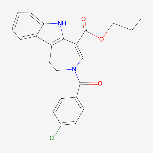 CCCOC(=O)C1=CN(C(=O)c2ccc(Cl)cc2)CCc2c1[nH]c1ccccc21